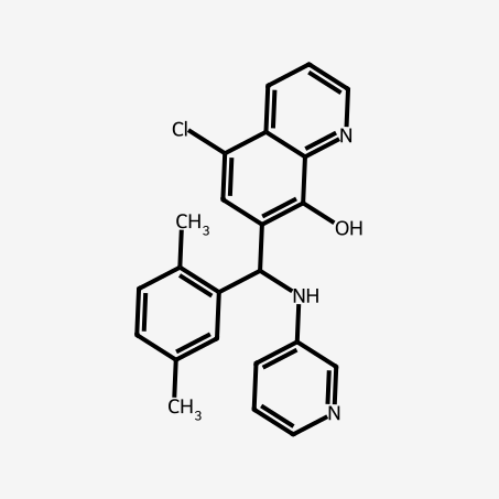 Cc1ccc(C)c(C(Nc2cccnc2)c2cc(Cl)c3cccnc3c2O)c1